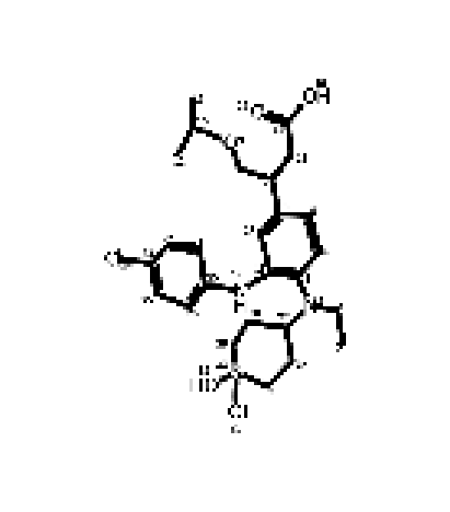 CCN(c1ccc(C(COC(C)C)CC(=O)O)cc1Nc1ccc(Cl)cc1)C1CCS(O)(O)CC1